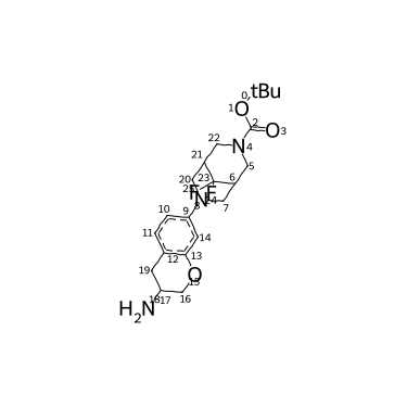 CC(C)(C)OC(=O)N1CC2CN(c3ccc4c(c3)OCC(N)C4)CC(C1)C2(F)F